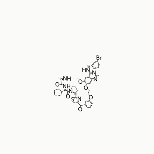 CN[C@@H](C)C(=O)N[C@H](C(=O)N1CCC[C@H]1c1nc(C(=O)c2cccc(OCCOc3cc4nc(C)nc(N[C@H](C)c5cccc(Br)c5)c4cc3OC)c2)cs1)C1CCCCC1